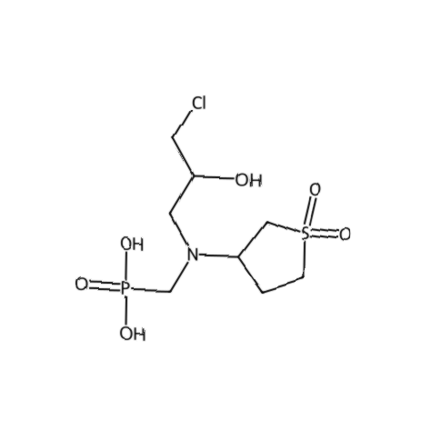 O=P(O)(O)CN(CC(O)CCl)C1CCS(=O)(=O)C1